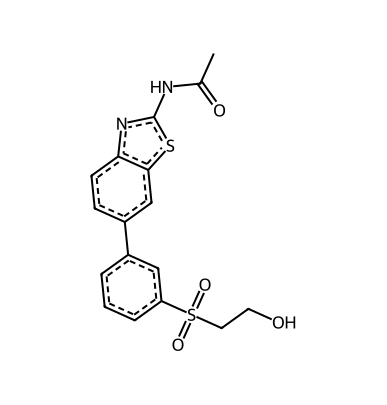 CC(=O)Nc1nc2ccc(-c3cccc(S(=O)(=O)CCO)c3)cc2s1